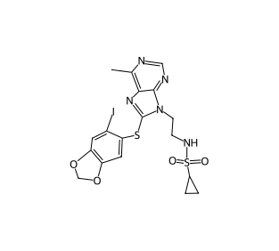 Cc1ncnc2c1nc(Sc1cc3c(cc1I)OCO3)n2CCNS(=O)(=O)C1CC1